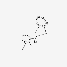 CC(=O)C1(c2cccc(F)c2C)CCc2ncncc2C1